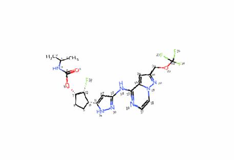 CC(C)NC(=O)O[C@H]1CC[C@@H](c2cc(Nc3nccn4nc(COC(F)(F)F)cc34)n[nH]2)[C@H]1F